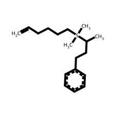 C=CCCCCS(C)(C)C(C)CCc1ccccc1